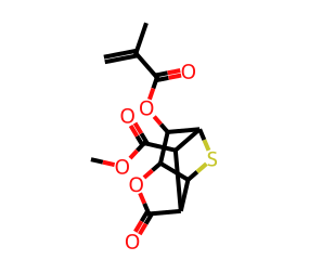 C=C(C)C(=O)OC1C2OC(=O)C3C2SC1C3C(=O)OC